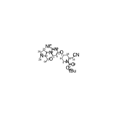 C[C@H](Oc1cc(O[C@H]2CCN(C(=O)OC(C)(C)C)[C@H](CC#N)C2)nc(C#N)n1)[C@@H]1CCCN1C